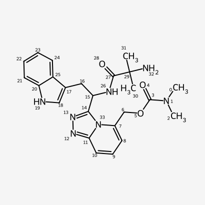 CN(C)C(=O)OCc1cccc2nnc(C(Cc3c[nH]c4ccccc34)NC(=O)C(C)(C)N)n12